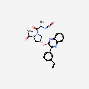 C=Cc1cccc(-c2nc3ccccc3nc2O[C@@H]2C[C@@H](C(=O)OC)N(C(=O)[C@@H](N=C=O)C(C)(C)C)C2)c1